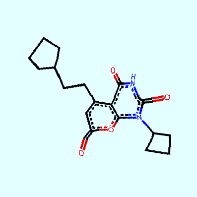 O=c1cc(CCC2CCCC2)c2c(=O)[nH]c(=O)n(C3CCC3)c2o1